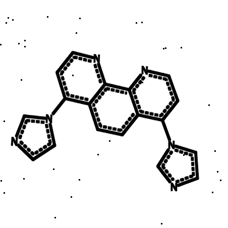 c1cn(-c2ccnc3c2ccc2c(-n4ccnc4)ccnc23)cn1